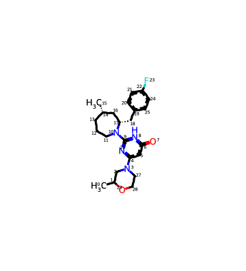 CC1CN(c2cc(=O)[nH]c(N3CCC[C@H](C)C[C@@H]3Cc3ccc(F)cc3)n2)CCO1